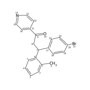 Cc1ccccc1C(CC(=O)c1ccncc1)c1ccc(Br)cc1